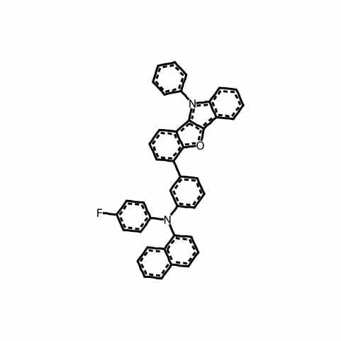 Fc1ccc(N(c2cccc(-c3cccc4c3oc3c5ccccc5n(-c5ccccc5)c43)c2)c2cccc3ccccc23)cc1